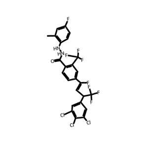 Cc1cc(F)ccc1NNC(=O)c1ccc(C(F)=CC(c2cc(Cl)c(Cl)c(Cl)c2)C(F)(F)F)cc1C(F)(F)F